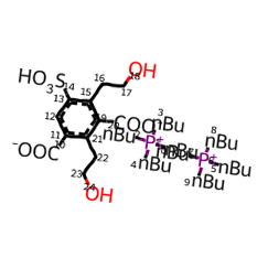 CCCC[P+](CCCC)(CCCC)CCCC.CCCC[P+](CCCC)(CCCC)CCCC.O=C([O-])c1cc(S(=O)(=O)O)c(CCO)c(C(=O)[O-])c1CCO